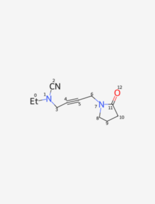 CCN(C#N)CC#CCN1CCCC1=O